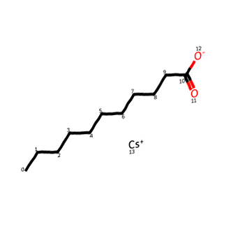 CCCCCCCCCCC(=O)[O-].[Cs+]